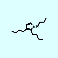 CCCCC1=[C](CCCC)[SnH]([CH2]CCC)[CH]=C1